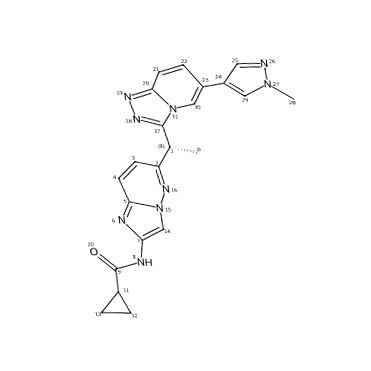 C[C@H](c1ccc2nc(NC(=O)C3CC3)cn2n1)c1nnc2ccc(-c3cnn(C)c3)cn12